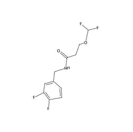 O=C(CCOC(F)F)NCc1ccc(F)c(F)c1